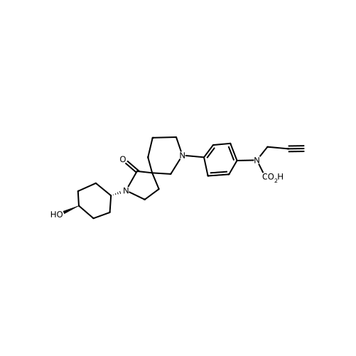 C#CCN(C(=O)O)c1ccc(N2CCCC3(CCN([C@H]4CC[C@H](O)CC4)C3=O)C2)cc1